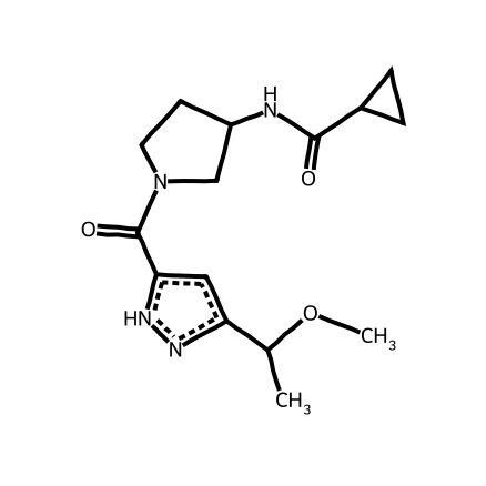 COC(C)c1cc(C(=O)N2CCC(NC(=O)C3CC3)C2)[nH]n1